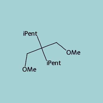 CCCC(C)C(COC)(COC)C(C)CCC